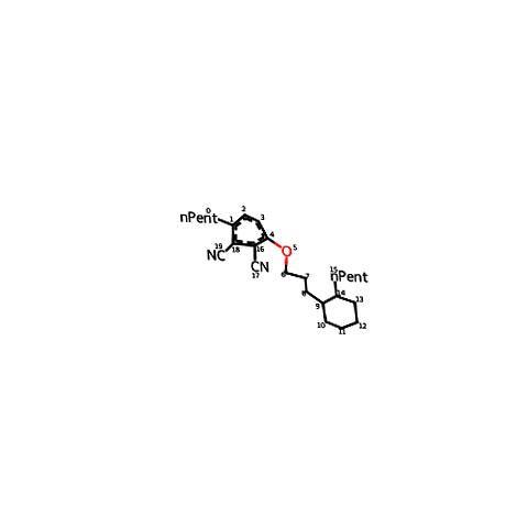 CCCCCc1ccc(OCCCC2CCCCC2CCCCC)c(C#N)c1C#N